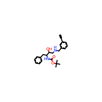 C#Cc1cccc(CNCC(O)C(Cc2ccccc2)NC(=O)OC(C)(C)C)c1